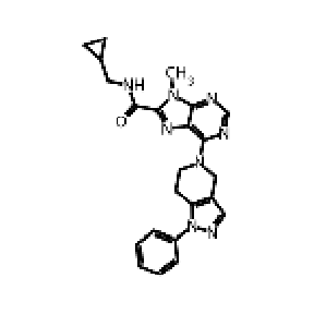 Cn1c(C(=O)NCC2CC2)nc2c(N3CCc4c(cnn4-c4ccccc4)C3)ncnc21